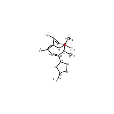 CCC1=C(OCC(F)(F)F)\C(Br)=C\C(C)N(C)/C(C2CCN(C)C2)=N\1